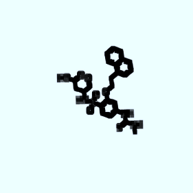 CNC(=S)Nc1ccc(S(=O)(=O)NC(C=O)CC(=O)O)c(OCCc2cccc3ccccc23)c1